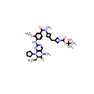 CC[C@@H]1C(=O)N(C)c2cnc(Nc3ccc(C(=O)N(C)C4CC(CC5CN(C(=O)OC(C)(C)C)C5)C4)cc3OC)nc2N1C1CCCC1